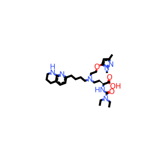 CCN(CC)C(=O)N[C@@H](CCN(CCCCc1ccc2c(n1)NCCC2)CCOc1cc(C)nn1C)C(=O)O